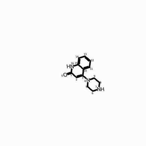 O=c1cc(N2CCNCC2)c2ccccc2[nH]1